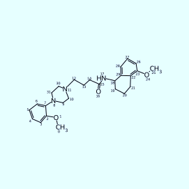 COc1ccccc1N1CCN(CCCC(=O)NC2CCCc3c(OC)cccc32)CC1